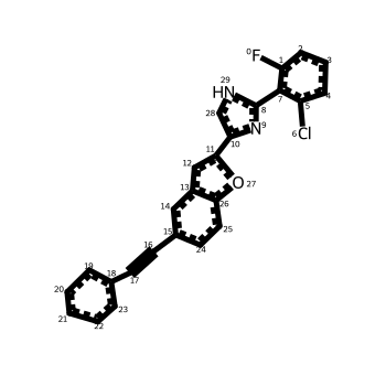 Fc1cccc(Cl)c1-c1nc(-c2cc3cc(C#Cc4ccccc4)ccc3o2)c[nH]1